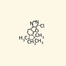 CC1(C)CC(C)(C)c2c1ccc1c2oc2c(Cl)ncnc21